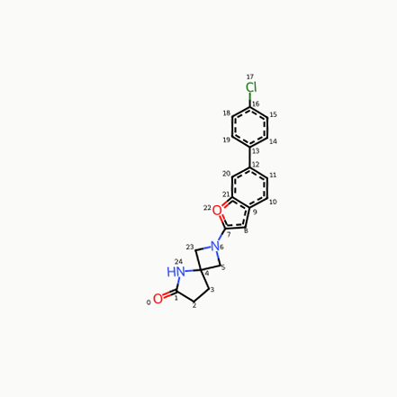 O=C1CCC2(CN(c3cc4ccc(-c5ccc(Cl)cc5)cc4o3)C2)N1